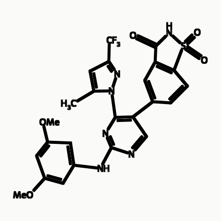 COc1cc(Nc2ncc(-c3ccc4c(c3)C(=O)NS4(=O)=O)c(-n3nc(C(F)(F)F)cc3C)n2)cc(OC)c1